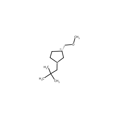 COC[C@H]1CCN(CC(C)(C)C)C1